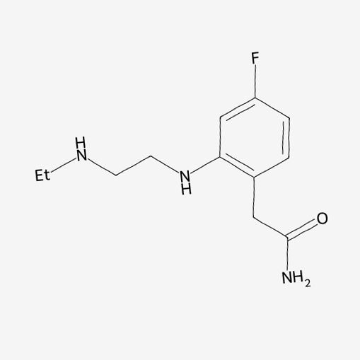 CCNCCNc1cc(F)ccc1CC(N)=O